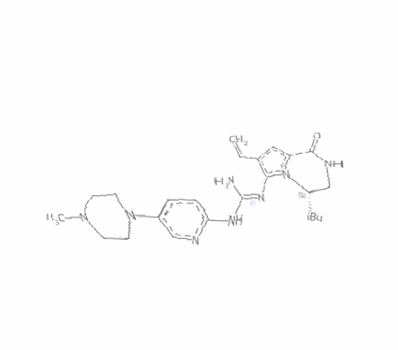 C=Cc1cc2n(c1/N=C(\N)Nc1ccc(N3CCN(C)CC3)cn1)[C@@H](C(C)CC)CNC2=O